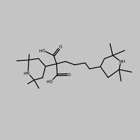 CC1(C)CC(CCCCC(C(=O)O)(C(=O)O)C2CC(C)(C)NC(C)(C)C2)CC(C)(C)N1